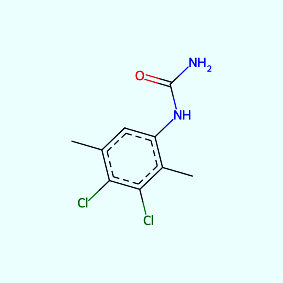 Cc1cc(NC(N)=O)c(C)c(Cl)c1Cl